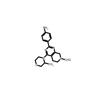 CC1COCCN1c1nc(-c2ccc(N)cc2)nc2c1CCN(C=O)C2